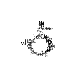 CO[C@@H]1C[C@H](C[C@@H](C)[C@@H]2CC[C@H](C)/C=C(\C)[C@@H](O)[C@@H](OC)C(=O)[C@H](C)C[C@H](C)/C=C/C=C/C=C(\C)C(C)C[C@@H]3CC[C@@H](C)[C@@](O)(O3)C(=O)C(=O)N3CCCC[C@H]3C(=O)O2)CC[C@@H]1n1cnnn1